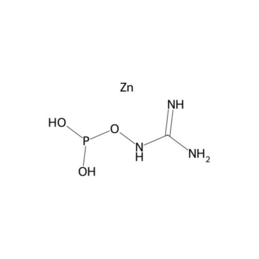 N=C(N)NOP(O)O.[Zn]